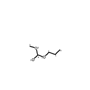 CCCOC([O])OC